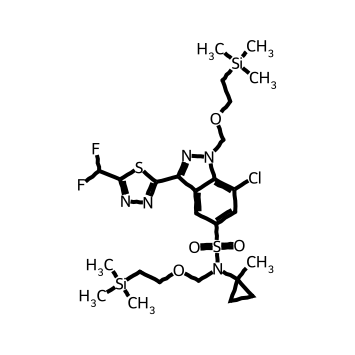 CC1(N(COCC[Si](C)(C)C)S(=O)(=O)c2cc(Cl)c3c(c2)c(-c2nnc(C(F)F)s2)nn3COCC[Si](C)(C)C)CC1